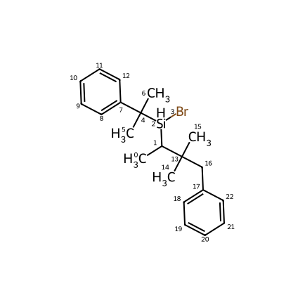 CC([SiH](Br)C(C)(C)c1ccccc1)C(C)(C)Cc1ccccc1